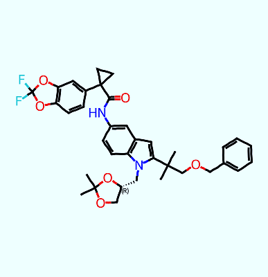 CC1(C)OC[C@@H](Cn2c(C(C)(C)COCc3ccccc3)cc3cc(NC(=O)C4(c5ccc6c(c5)OC(F)(F)O6)CC4)ccc32)O1